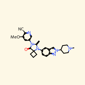 C=C1N(c2cnc(C#N)c(OC)c2)C(=O)C2(CCC2)N1c1ccc2nn(C3CCN(C)CC3)cc2c1